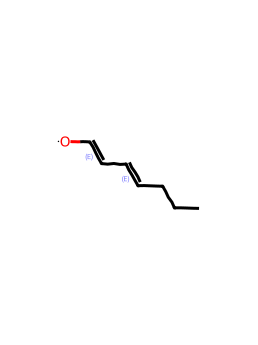 CCC/C=C/C=C/[O]